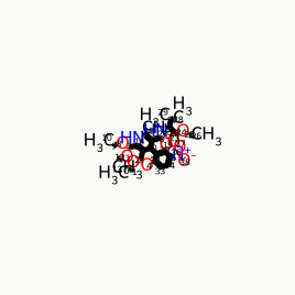 CCOC(=O)C1=C(C(OCC)OCC)NC(C)=C(C(=O)N[C@H](C(=O)OCC)C(C)C)C1c1cccc([N+](=O)[O-])c1